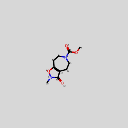 COC(=O)N1CCc2on(C)c(=O)c2CC1